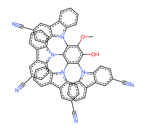 COc1c(O)c(-n2c3ccccc3c3cc(C#N)ccc32)c(-n2c3ccccc3c3cc(C#N)ccc32)c(-n2c3ccccc3c3cc(C#N)ccc32)c1-n1c2ccccc2c2cc(C#N)ccc21